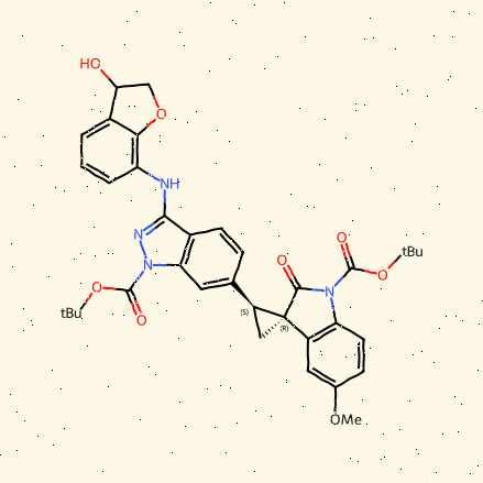 COc1ccc2c(c1)[C@]1(C[C@H]1c1ccc3c(Nc4cccc5c4OCC5O)nn(C(=O)OC(C)(C)C)c3c1)C(=O)N2C(=O)OC(C)(C)C